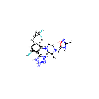 Cc1noc(CN2CCN(c3cc(CC4CC4(F)F)cc(F)c3-c3nn[nH]n3)C[C@@H]2C)n1